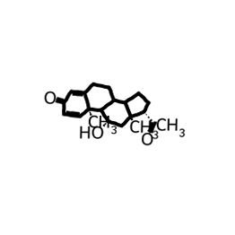 CC(=O)[C@H]1CCC2C3CCC4=CC(=O)C=C[C@]4(C)C3[C@@H](O)C[C@@]21C